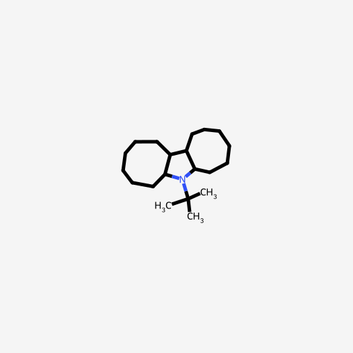 CC(C)(C)N1C2CCCCCCC2C2CCCCCCC21